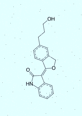 O=C1Nc2ccccc2C1=C1OCc2cc(CCCO)ccc21